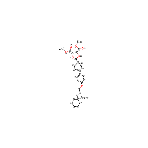 CCCCCC1(CCCOc2ccc(-c3ccc(C4OC(C(=O)OCCCC)C(C(=O)OCCCC)O4)cc3)cc2)CCCCC1